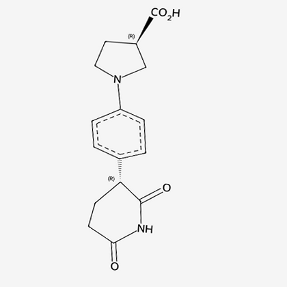 O=C1CC[C@H](c2ccc(N3CC[C@@H](C(=O)O)C3)cc2)C(=O)N1